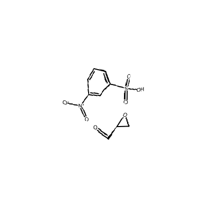 O=C[C@@H]1CO1.O=[N+]([O-])c1cccc(S(=O)(=O)O)c1